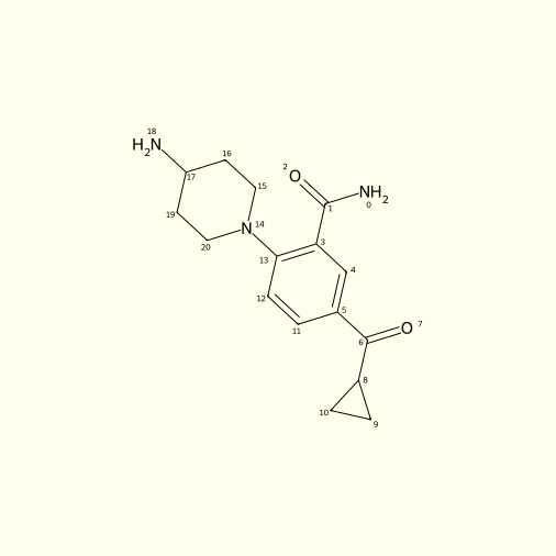 NC(=O)c1cc(C(=O)C2CC2)ccc1N1CCC(N)CC1